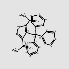 COC(=O)c1n[nH]c(C(=O)OC)c1C(c1ccccc1)(c1ccccc1)c1ccccc1